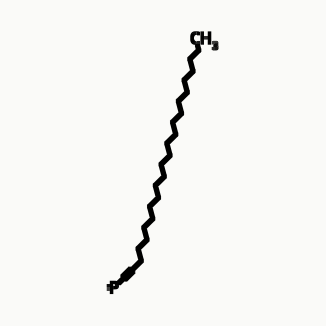 CCCCCCCCCCCCCCCCCCCCCCC#C[P]